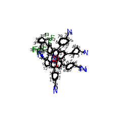 N#Cc1ccc(-c2ccc3c(c2)c2cc(-c4ccc(C#N)cc4)ccc2n3-c2ccc(-c3c(C(F)(F)F)cccc3C(F)(F)F)cc2-c2c(C#N)cccc2-n2c3ccc(-c4ccc(C#N)cc4)cc3c3cc(-c4ccc(C#N)cc4)ccc32)cc1